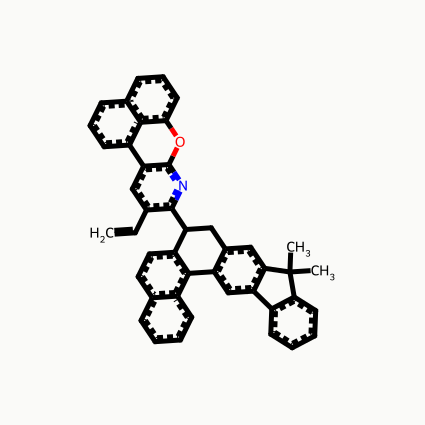 C=Cc1cc2c(nc1C1Cc3cc4c(cc3-c3c1ccc1ccccc31)-c1ccccc1C4(C)C)Oc1cccc3cccc-2c13